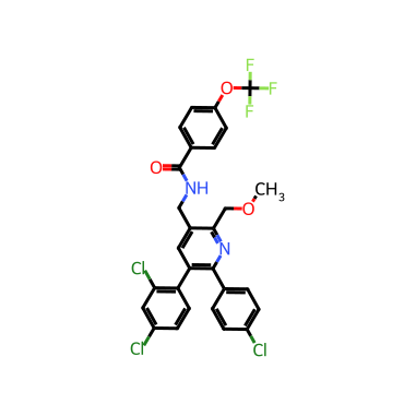 COCc1nc(-c2ccc(Cl)cc2)c(-c2ccc(Cl)cc2Cl)cc1CNC(=O)c1ccc(OC(F)(F)F)cc1